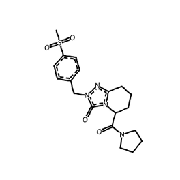 CS(=O)(=O)c1ccc(Cn2nc3n(c2=O)C(C(=O)N2CCCC2)CCC3)cc1